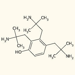 CC(C)(N)Cc1ccc(O)c(CC(C)(C)N)c1CC(C)(C)N